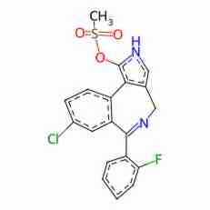 CS(=O)(=O)Oc1[nH]cc2c1-c1ccc(Cl)cc1C(c1ccccc1F)=NC2